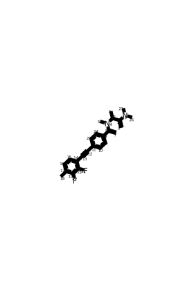 C=C(C(C)N(C)C(=C)c1ccc(C#Cc2ccc(C)c(F)c2F)cc1)N(C)C